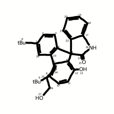 CC(C)(C)c1ccc(C2(c3cc(C(C)(C)C)ccc3O)C(=O)Nc3ccccc32)c(OCCO)c1